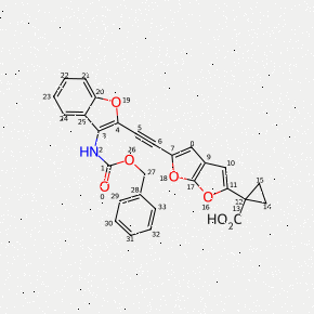 O=C(Nc1c(C#Cc2cc3cc(C4(C(=O)O)CC4)oc3o2)oc2ccccc12)OCc1ccccc1